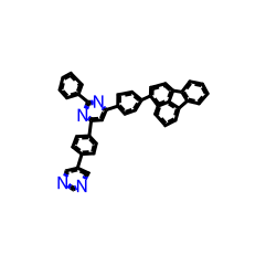 c1ccc(-c2nc(-c3ccc(-c4cncnc4)cc3)cc(-c3ccc(-c4ccc5c6c(cccc46)-c4ccccc4-5)cc3)n2)cc1